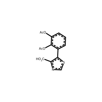 CC(=O)Oc1cccc(-c2s[c]nc2C(=O)O)c1OC(C)=O